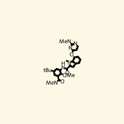 CNC(=O)c1cc(C(C)(C)C)cc(NC(=O)c2cc3cccc(Oc4ccnc(NC)n4)c3n2C)c1OC